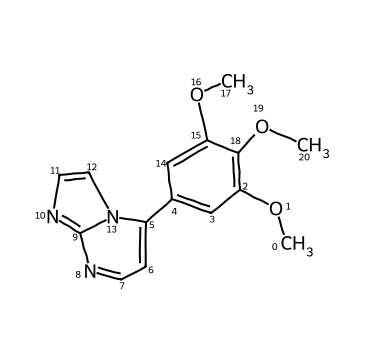 COc1cc(-c2ccnc3nccn23)cc(OC)c1OC